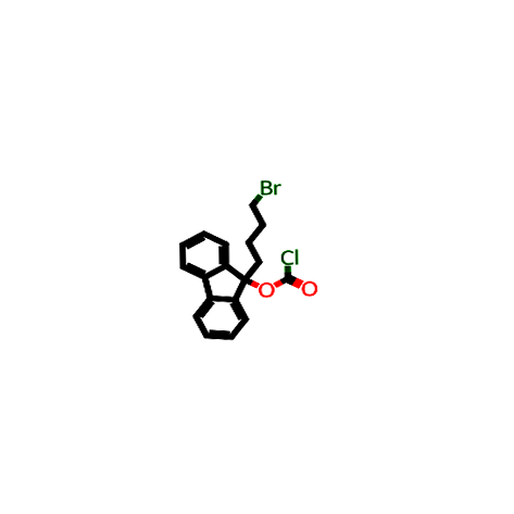 O=C(Cl)OC1(CCCCBr)c2ccccc2-c2ccccc21